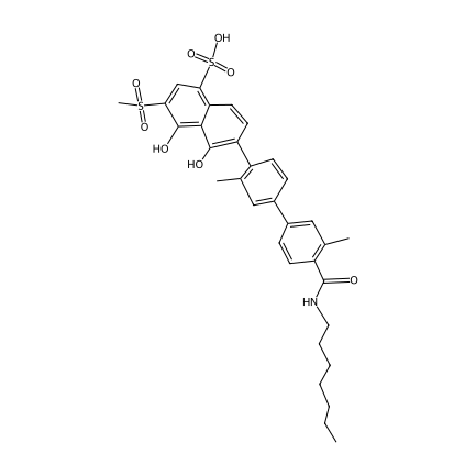 CCCCCCCNC(=O)c1ccc(-c2ccc(-c3ccc4c(S(=O)(=O)O)cc(S(C)(=O)=O)c(O)c4c3O)c(C)c2)cc1C